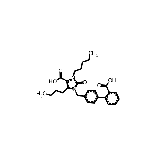 CCCCCn1c(C(=O)O)c(CCCC)n(Cc2ccc(-c3ccccc3C(=O)O)cc2)c1=O